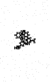 Cl.N#Cc1ccnc(Nc2cc(C3CC3)cc(-c3ccc4ncn(C5(CO)CCCCC5)c4c3)n2)c1